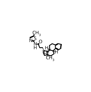 Cc1cnc(NC(=O)CC[C@@H]2CC[C@@]3(C)CC[C@@H]4c5ccccc5CC[C@H]4[C@H]23)s1